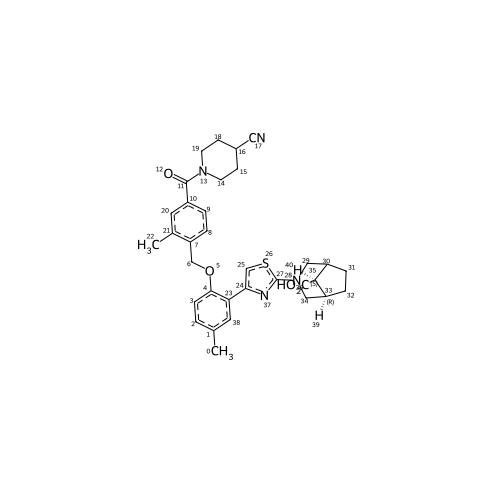 Cc1ccc(OCc2ccc(C(=O)N3CCC(C#N)CC3)cc2C)c(-c2csc(N3CC4CC[C@@H](C3)[C@H]4C(=O)O)n2)c1